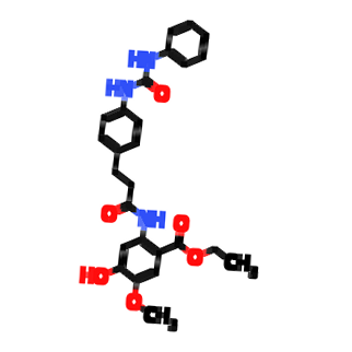 CCOC(=O)c1cc(OC)c(O)cc1NC(=O)CCc1ccc(NC(=O)Nc2ccccc2)cc1